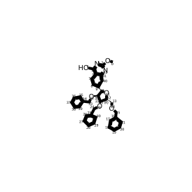 COc1nc(O)c2ccc([C@@H]3O[C@H](COCc4ccccc4)[C@@H](OCc4ccccc4)[C@H]3OCc3ccccc3)cc2n1